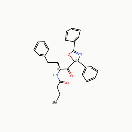 CC(C)(C)CCC(=O)N[C@@H](CCc1ccccc1)C(=O)c1oc(-c2ccccc2)nc1-c1ccccc1